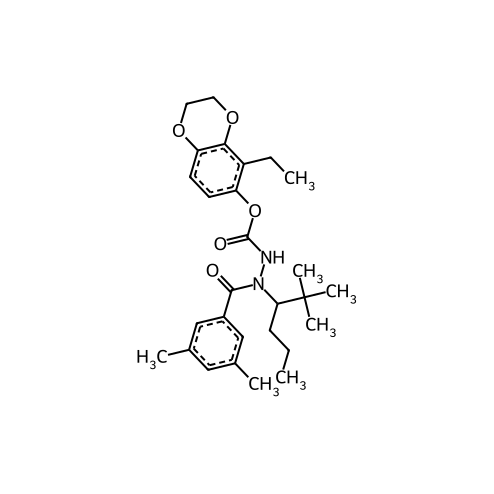 CCCC(N(NC(=O)Oc1ccc2c(c1CC)OCCO2)C(=O)c1cc(C)cc(C)c1)C(C)(C)C